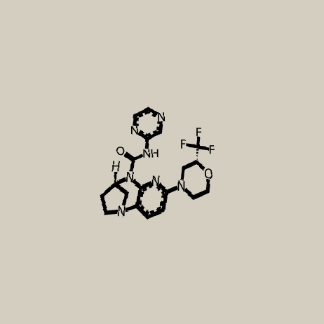 O=C(Nc1cnccn1)N1c2nc(N3CCO[C@@H](C(F)(F)F)C3)ccc2N2CC[C@H]1C2